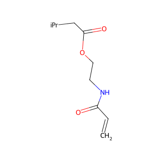 C=CC(=O)NCCOC(=O)CC(C)C